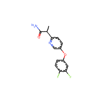 CC(C(N)=O)c1ccc(Oc2ccc(F)c(F)c2)cn1